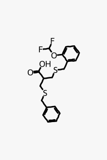 O=C(O)C(CSCc1ccccc1)CSCc1ccccc1OC(F)F